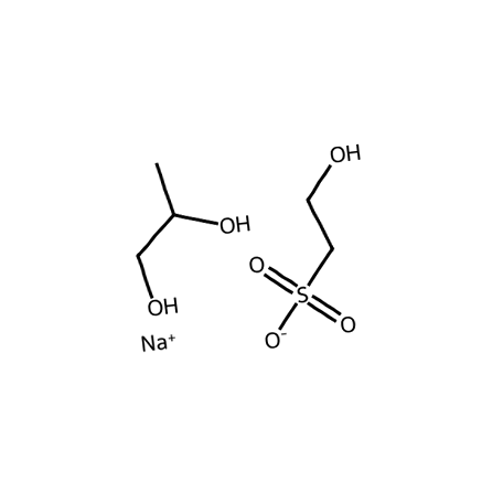 CC(O)CO.O=S(=O)([O-])CCO.[Na+]